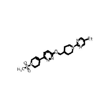 CCc1cnc(N2CCC(COc3ccc(C4=CCN(S(C)(=O)=O)CC4)nn3)CC2)nc1